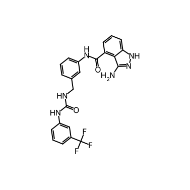 Nc1n[nH]c2cccc(C(=O)Nc3cccc(CNC(=O)Nc4cccc(C(F)(F)F)c4)c3)c12